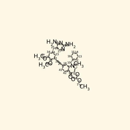 CCOC(=O)OC1=C[N+](C)(Cc2ccccc2)c2cc(C#Cc3cc(Cc4cnc(N)nc4N)cc(OC)c3OC)ccc2C1=O